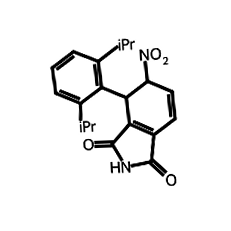 CC(C)c1cccc(C(C)C)c1C1C2=C(C=CC1[N+](=O)[O-])C(=O)NC2=O